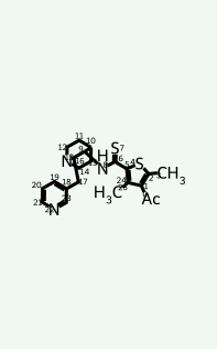 CC(=O)c1c(C)sc(C(=S)NC2C3CCN(CC3)C2Cc2cccnc2)c1C